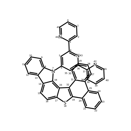 c1ccc(-c2cc(-n3c4ccccc4c4ccc5sc6c7ccccc7c7ccccc7c6c5c43)cc(-c3ccccn3)n2)nc1